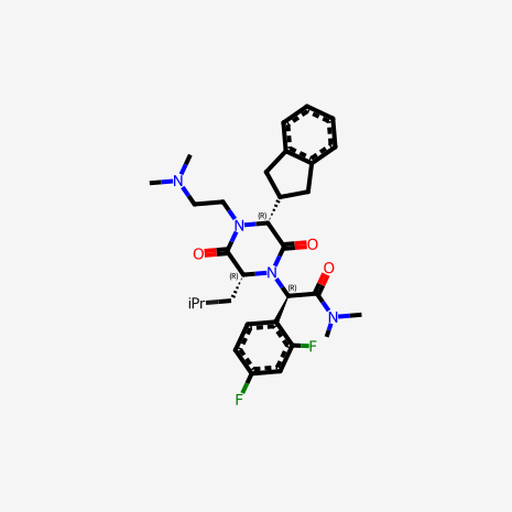 CC(C)C[C@@H]1C(=O)N(CCN(C)C)[C@H](C2Cc3ccccc3C2)C(=O)N1[C@@H](C(=O)N(C)C)c1ccc(F)cc1F